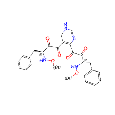 CC(C)(C)ON[C@@H](Cc1ccccc1)C(=O)C(=O)C1=C(C(=O)C(=O)[C@H](Cc2ccccc2)NOC(C)(C)C)N=CNC1